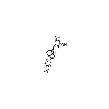 C=C1/C(=C\C=C2/CCC[C@]3(C)C(C(C)SC(C)C(=O)OC(C)(C)C)=CC[C@@H]23)C[C@@H](O)C[C@@H]1O